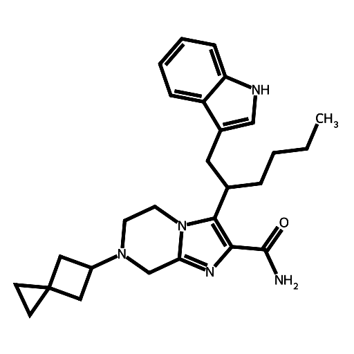 CCCCC(Cc1c[nH]c2ccccc12)c1c(C(N)=O)nc2n1CCN(C1CC3(CC3)C1)C2